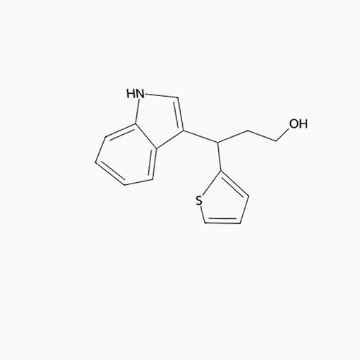 OCCC(c1cccs1)c1c[nH]c2ccccc12